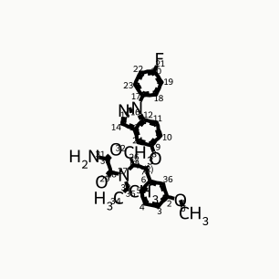 COc1cccc([C@@H](Oc2ccc3c(cnn3-c3ccc(F)cc3)c2)[C@H](C)N(C(=O)C(N)=O)C(C)C)c1